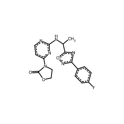 CC(Nc1nccc(N2CCOC2=O)n1)c1nc(-c2ccc(F)cc2)no1